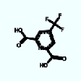 O=C(O)c1cc(C(F)(F)F)cc(C(=O)O)n1